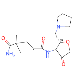 CC(C)(C[CH]C(=O)NC1C(=O)CO[C@H]1CN1CCCC1)C(N)=O